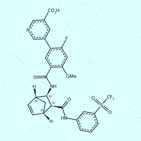 COc1cc(F)c(-c2cncc(C(=O)O)c2)cc1C(=O)N[C@H]1[C@@H](C(=O)Nc2cccc(S(=O)(=O)C(F)(F)F)c2)[C@@H]2C=C[C@H]1C2